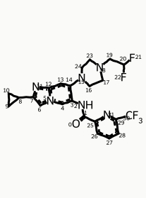 O=C(Nc1cn2cc(C3CC3)nc2cc1N1CCN(CC(F)F)CC1)c1cccc(C(F)(F)F)n1